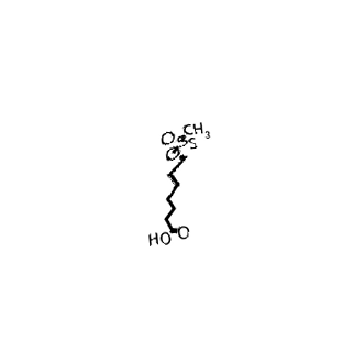 CS(=O)(=S)OCCCCCCC(=O)O